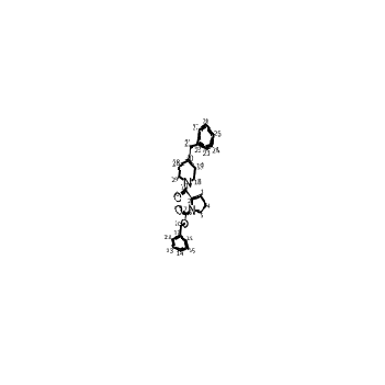 O=C([C@H]1CCCN1C(=O)OCc1ccccc1)N1CCC(Cc2ccccc2)CC1